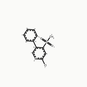 CS(=O)(=O)c1cc(Cl)ncc1-c1[c]cccc1